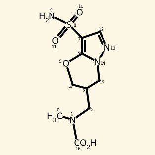 CN(CC1COc2c(S(N)(=O)=O)cnn2C1)C(=O)O